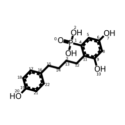 O=P(O)(O)c1cc(O)cc(O)c1CCCCc1ccc(O)cc1